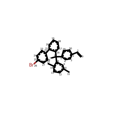 C=Cc1ccc(C(C)(c2cc(C)ccc2C)c2ccccc2-c2ccc(Br)cc2)cc1